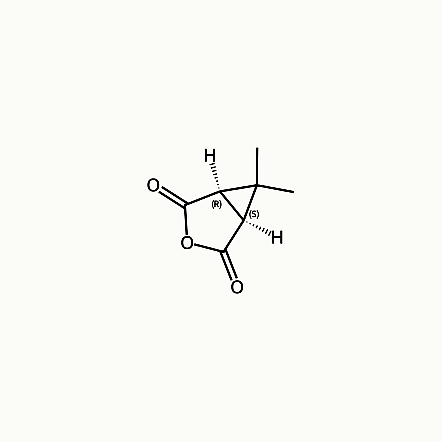 CC1(C)[C@@H]2C(=O)OC(=O)[C@@H]21